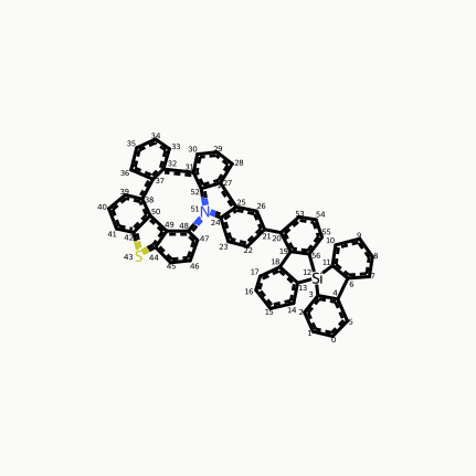 c1ccc2c(c1)-c1ccccc1[Si]21c2ccccc2-c2c(-c3ccc4c(c3)c3cccc5c6ccccc6c6cccc7sc8cccc(c8c76)n4c53)cccc21